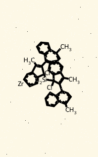 CC1=C(c2ccc(C)c3ccccc23)C(Cl)([SiH2]C2(Cl)C(c3ccc(C)c4ccccc34)=C(C)c3ccccc32)c2ccccc21.[Zr]